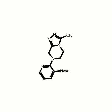 CNc1cccnc1N1CCn2c(nnc2C(F)(F)F)C1